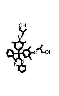 Cc1cc(C2(c3cc(C)c(OCC(C)CO)c(C)c3)c3ccccc3-c3nc4ccccc4nc32)cc(C)c1OCC(C)CO